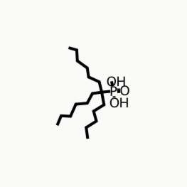 CCCCCCC(CCCCC)(CCCCCC)P(=O)(O)O